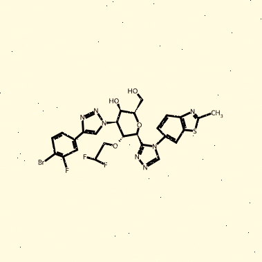 Cc1nc2ccc(-n3cnnc3[C@@H]3O[C@H](CO)[C@H](O)[C@H](n4cc(-c5ccc(Br)c(F)c5)nn4)[C@H]3OCC(F)F)cc2s1